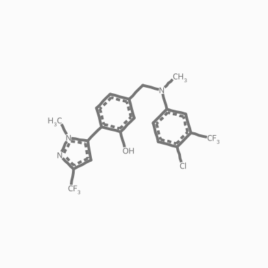 CN(Cc1ccc(-c2cc(C(F)(F)F)nn2C)c(O)c1)c1ccc(Cl)c(C(F)(F)F)c1